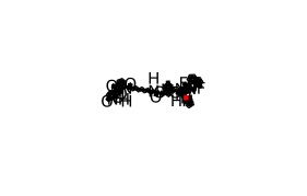 C#Cc1c(F)ccc2cccc(-c3ncc4c(N5CC6CCC(C5)N6)nc(OCC56CCC(COC(=O)NCCCCCCCC(=O)Nc7cccc8c7C(=O)N(C7CCC(=O)NC7=O)C8=O)N5CC(C)C6)nc4c3F)c12